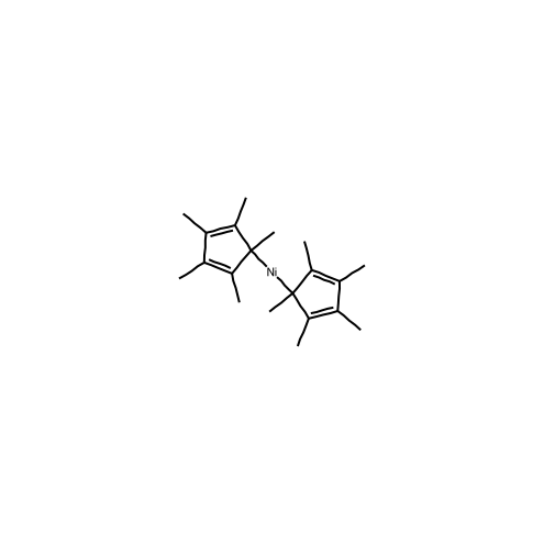 CC1=C(C)[C](C)([Ni][C]2(C)C(C)=C(C)C(C)=C2C)C(C)=C1C